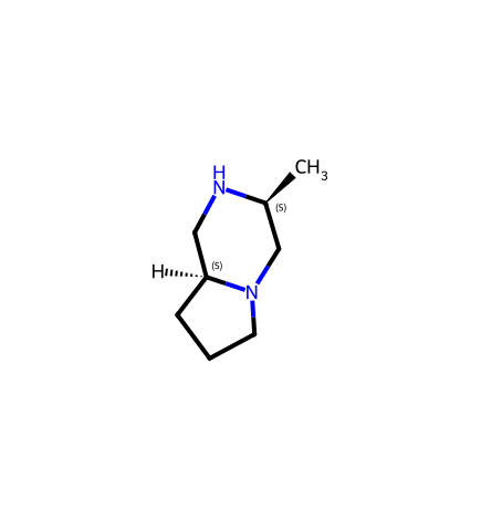 C[C@H]1CN2CCC[C@H]2CN1